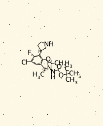 CCOc1c([C@H](C)NNC(=O)OC(C)(C)C)cc(Cl)c(F)c1[C@H]1CCNC1